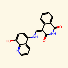 O=C1NC(=O)c2ccccc2C1=CNc1ccc(O)c2ncccc12